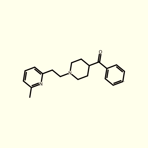 Cc1cccc(CCN2CCC(C(=O)c3cc[c]cc3)CC2)n1